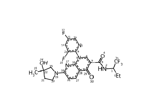 CCC(NC(=O)c1cn(-c2ncc(F)cc2F)c2nc(N3CCC(C)(O)C3)ccc2c1=O)C(F)(F)F